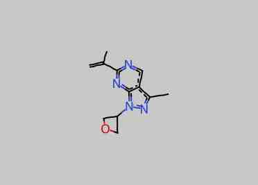 C=C(C)c1ncc2c(C)nn(C3COC3)c2n1